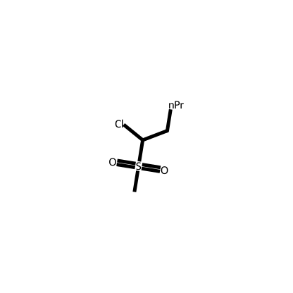 CCCCC(Cl)S(C)(=O)=O